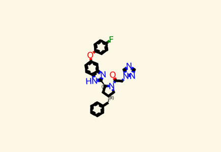 O=C(Cn1cncn1)N1C[C@H](Cc2ccccc2)C[C@H]1c1nc2cc(Oc3ccc(F)cc3)ccc2[nH]1